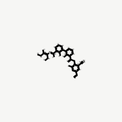 C=Cc1cc(C)c(CC(=C)c2cccc(-c3cccc(/C(C)=N/C(CC)=C(\C)CC)c3C)c2C)c(C#N)c1